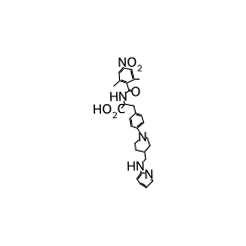 Cc1cc([N+](=O)[O-])cc(C)c1C(=O)NC(Cc1ccc(N2CCC(CNc3ccccn3)CC2)cc1)C(=O)O